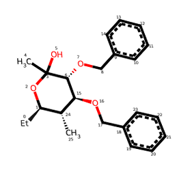 CC[C@H]1OC(C)(O)[C@H](OCc2ccccc2)[C@@H](OCc2ccccc2)[C@@H]1C